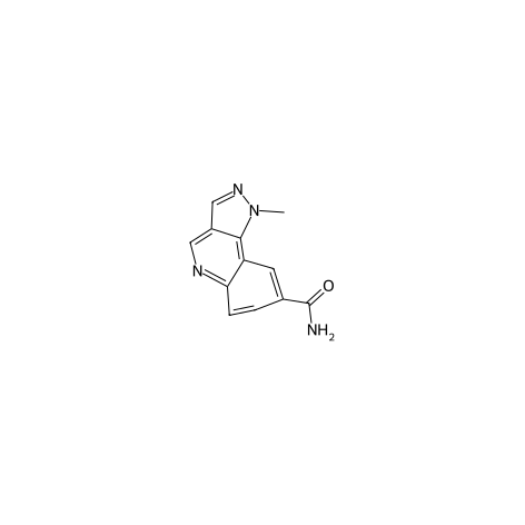 Cn1ncc2cnc3ccc(C(N)=O)cc3c21